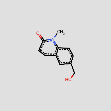 Cn1c(=O)ccc2cc(CO)ccc21